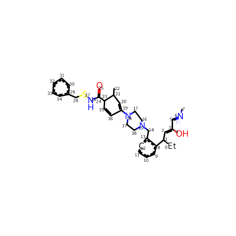 CCC(C=C(O)/C=N/C)c1ccccc1CN1CCN(C2=CC(C)C(C(=O)NSCc3ccccc3)C=C2)CC1